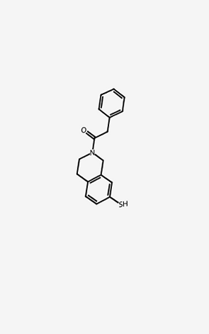 O=C(Cc1ccccc1)N1CCc2ccc(S)cc2C1